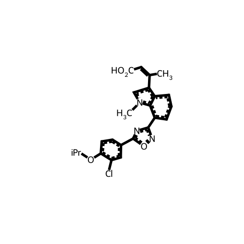 C/C(=C/C(=O)O)c1cn(C)c2c(-c3noc(-c4ccc(OC(C)C)c(Cl)c4)n3)cccc12